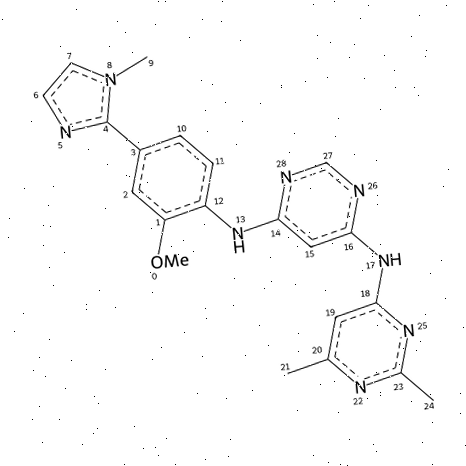 COc1cc(-c2nccn2C)ccc1Nc1cc(Nc2cc(C)nc(C)n2)ncn1